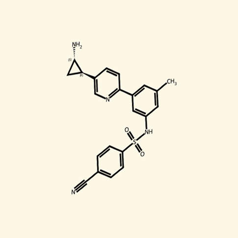 Cc1cc(NS(=O)(=O)c2ccc(C#N)cc2)cc(-c2ccc([C@H]3C[C@@H]3N)cn2)c1